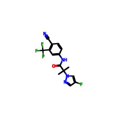 CC(C)(C(=O)Nc1ccc(C#N)c(C(F)(F)F)c1)n1cc(F)cn1